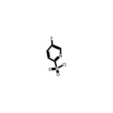 O=S(=O)(Cl)c1ccc(F)cn1